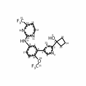 OC1(c2ncc(-c3cc(Nc4nccc(C(F)(F)F)n4)ccc3OC(F)(F)F)s2)CCC1